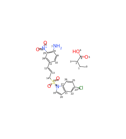 CCC(C)C(=O)O.Nc1ccc(C=CCS(=O)(=O)n2ccc3cc(Cl)ccc32)cc1[N+](=O)[O-]